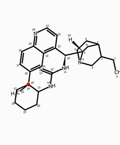 CCC1CN2CCC1C[C@H]2[C@@H](NC(=S)NC1CCCCC1)c1ccnc2ccc(OC)cc12